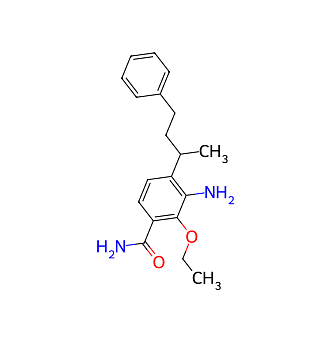 CCOc1c(C(N)=O)ccc(C(C)CCc2ccccc2)c1N